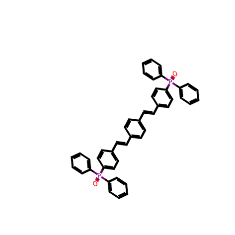 O=P(c1ccccc1)(c1ccccc1)c1ccc(/C=C/c2ccc(/C=C/c3ccc(P(=O)(c4ccccc4)c4ccccc4)cc3)cc2)cc1